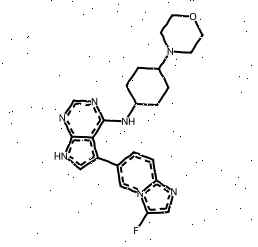 Fc1cnc2ccc(-c3c[nH]c4ncnc(NC5CCC(N6CCOCC6)CC5)c34)cn12